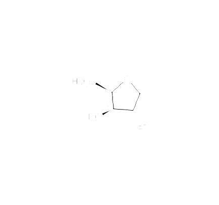 CC[C@H]1CO[C@H](C(=O)O)[C@@H]1O